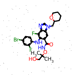 CC(C)(CO)ONC(=O)c1cc2c(ncn2CC2CCCCO2)c(F)c1Nc1ccc(Br)cc1F